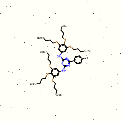 [CH2]Cc1ccc(-c2nc(Nc3cc(SCCCCCCCCCCCCC)c(SCCCCCCCCCCCCC)c(SCCCCCCCCCCCCC)c3)nc(Nc3cc(SCCCCCCCCCCCCC)c(SCCCCCCCCCCCCC)c(SCCCCCCCCCCCCC)c3)n2)cc1